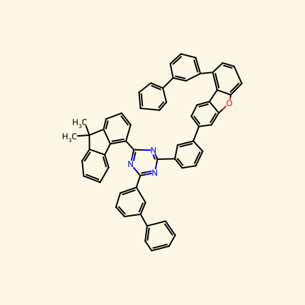 CC1(C)c2ccccc2-c2c(-c3nc(-c4cccc(-c5ccccc5)c4)nc(-c4cccc(-c5ccc6c(c5)oc5cccc(-c7cccc(-c8ccccc8)c7)c56)c4)n3)cccc21